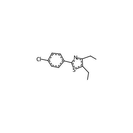 CCc1nc(-c2ccc(Cl)cc2)sc1CC